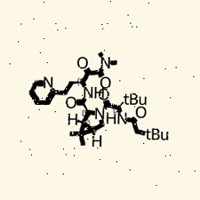 CN(C)C(=O)C(=O)[C@H](CCc1ccccn1)NC(=O)[C@@H]1[C@@H]2[C@H](CN1C(=O)[C@@H](NC(=O)CC(C)(C)C)C(C)(C)C)C2(C)C